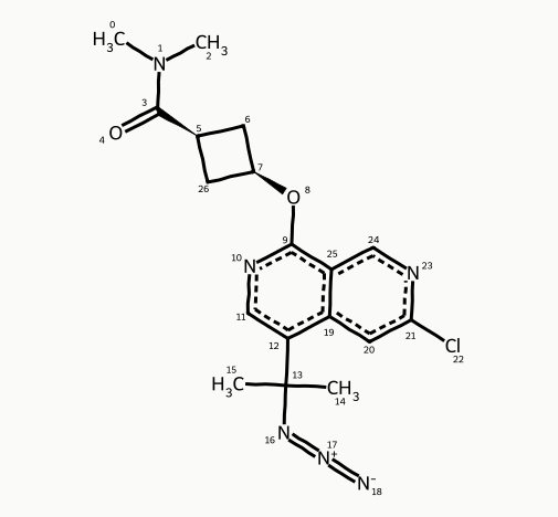 CN(C)C(=O)[C@H]1C[C@@H](Oc2ncc(C(C)(C)N=[N+]=[N-])c3cc(Cl)ncc23)C1